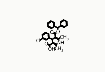 CC1=C(C(=O)O)C(c2cccc(Cl)c2)C(C(=O)OC(c2ccccc2)c2ccccc2)=C(C)N1